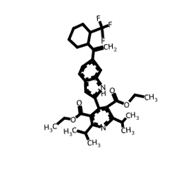 C=C(c1ccc2cc(-c3c(C(=O)OCC)c(C(C)C)nc(C(C)C)c3C(=O)OCC)[nH]c2c1)C1CCCCC1C(F)(F)F